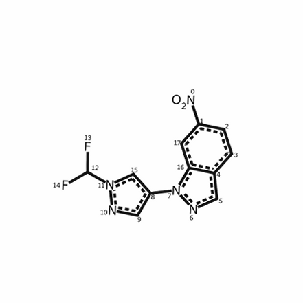 O=[N+]([O-])c1ccc2cnn(-c3cnn(C(F)F)c3)c2c1